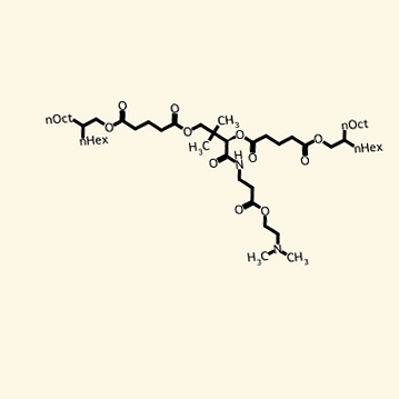 CCCCCCCCC(CCCCCC)COC(=O)CCCC(=O)OCC(C)(C)[C@@H](OC(=O)CCCC(=O)OCC(CCCCCC)CCCCCCCC)C(=O)NCCC(=O)OCCN(C)C